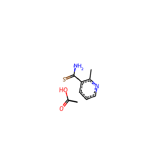 CC(=O)O.Cc1ncccc1C(N)=S